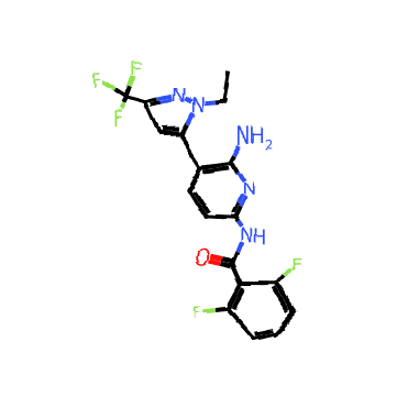 CCn1nc(C(F)(F)F)cc1-c1ccc(NC(=O)c2c(F)cccc2F)nc1N